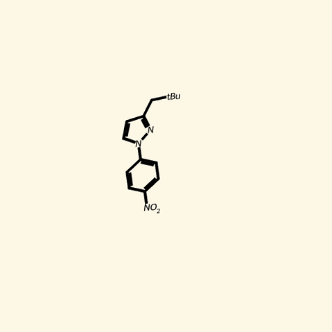 CC(C)(C)Cc1ccn(-c2ccc([N+](=O)[O-])cc2)n1